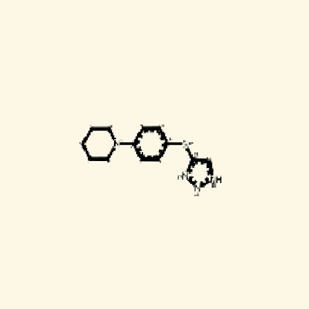 c1cc(N2CCCCC2)ccc1Sc1c[nH]nn1